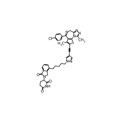 Cc1c(C#Cc2cnn(CCCCCc3cccc4c3CN(C3CCC(=O)NC3=O)C4=O)c2)sc2c1C(c1ccc(Cl)cc1)=NCc1nnc(C)n1-2